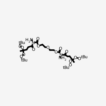 CC(C)(C)OOC(C)(CCC(=O)N(N)C(=O)OCCOCCOC(=O)N(N)C(=O)CCC(C)(OOC(C)(C)C)OOC(C)(C)C)OOC(C)(C)C